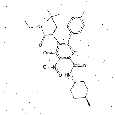 CCOC(=O)C(CC(C)(C)C)n1c(-c2ccc(C)cc2)c(C)c(C(=O)N[C@H]2CC[C@H](C)CC2)c([N+](=O)[O-])c1=O